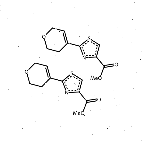 COC(=O)c1csc(C2=CCOCC2)n1.COC(=O)c1csc(C2=CCOCC2)n1